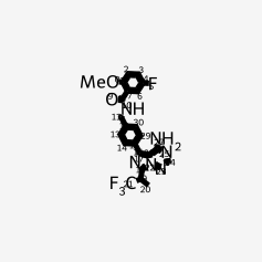 COc1ccc(F)cc1C(=O)NCc1ccc(-c2nc(C(C)C(F)(F)F)n3ncnc(N)c23)cc1